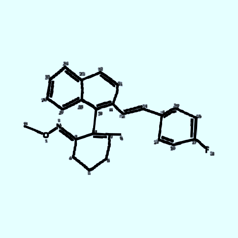 CO/N=C1\CCCC(C)=C1c1c(/C=C/c2ccc(F)cc2)ccc2ccccc12